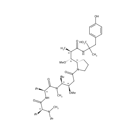 CCC(C)[C@@H]([C@@H](CC(=O)N1CCC[C@H]1[C@H](OC)[C@@H](C)C(=O)NC(C)(Cc1ccc(O)cc1)C(=O)O)OC)N(C)C(=O)[C@@H](NC(=O)[C@H](C(C)C)N(C)C(C)C)C(C)C